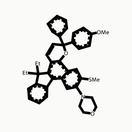 CCC1(CC)c2ccccc2-c2c1c1c(c3cc(SC)c(N4CCOCC4)cc23)OC(c2ccccc2)(c2ccc(OC)cc2)C=C1